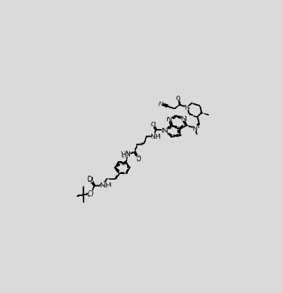 C[C@@H]1CCN(C(=O)CC#N)CC1/C=[N+](/C)c1ncnc2c1ccn2C(=O)NCCCC(=O)Nc1ccc(CCNC(=O)OC(C)(C)C)cc1